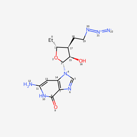 CC[C@H]1O[C@@H](n2cnc3c(=O)[nH]c(N)cc32)[C@H](O)[C@@H]1CCN=[N+]=[N-]